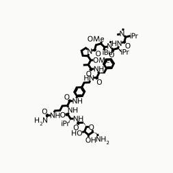 CCC(C)C(C(CC(=O)N1CCCC1C(OC)C(C)C(=O)N[C@@H](Cc1ccccc1)C(=O)NCCc1ccc(NC(=O)C(CCCNC(N)=O)NC(=O)[C@H](NC(=O)C[C@@H]2O[C@H](CN)C(O)C2O)C(C)C)cc1)OC)N(C)C(=O)[C@@H](NC(=O)C(C(C)C)N(C)C)C(C)C